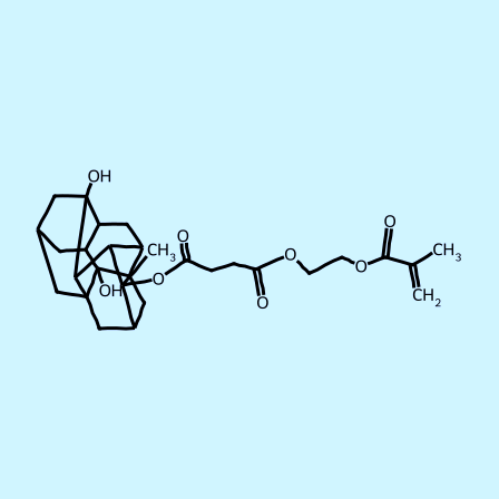 C=C(C)C(=O)OCCOC(=O)CCC(=O)OC1(C)C2CC3C4CC5C6CC7CC5(O)C(C41)C(C7)(C2)C36O